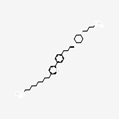 CCCCCCCCCc1ccc(-c2ccc(CC/C=C/[C@H]3CC[C@H](CCCCC)CC3)cc2)nc1